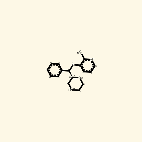 CCCc1ncccc1OC(c1ccccc1)[C@@H]1CNCCO1